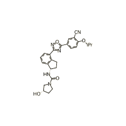 CC(C)Oc1ccc(-c2nc(-c3cccc4c3CC[C@@H]4NC(=O)N3CC[C@H](O)C3)no2)cc1C#N